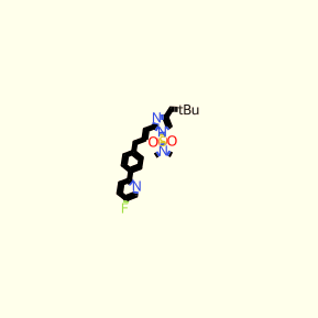 CN(C)S(=O)(=O)n1cc(CC(C)(C)C)nc1C=CCc1ccc(-c2ccc(F)cn2)cc1